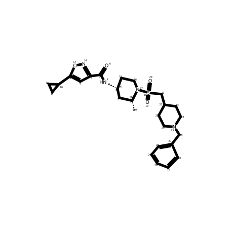 C[C@@H]1C[C@H](NC(=O)c2cc(C3CC3)on2)CCN1S(=O)(=O)CC1CCN(Cc2ccccc2)CC1